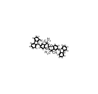 CC1(C)CC2(CC(C)(C)c3cc(-n4c5ccccc5c5ccccc54)ccc3O2)Oc2ccc(-n3c4ccccc4c4ccccc43)cc21